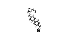 CCCCC1CCC(c2ccc(CC#N)cc2)CC1